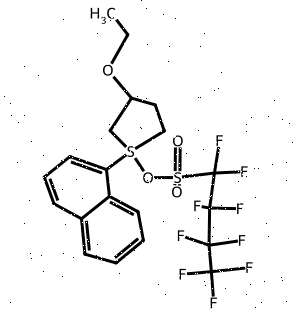 CCOC1CCS(OS(=O)(=O)C(F)(F)C(F)(F)C(F)(F)C(F)(F)F)(c2cccc3ccccc23)C1